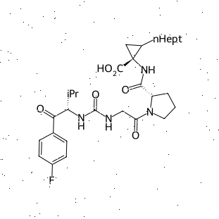 CCCCCCCC1C[C@]1(NC(=O)[C@@H]1CCCN1C(=O)CNC(=O)N[C@H](C(=O)c1ccc(F)cc1)C(C)C)C(=O)O